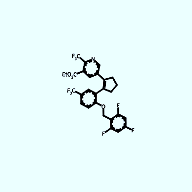 CCOC(=O)c1cc(C2=C(c3cc(C(F)(F)F)ccc3OCc3c(F)cc(F)cc3F)CCC2)cnc1C(F)(F)F